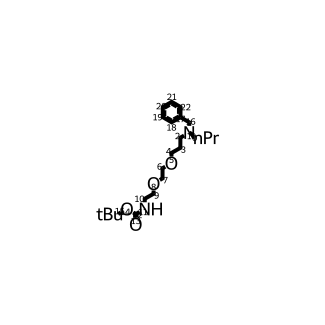 CCCN(CCCOCCOCCNC(=O)OC(C)(C)C)Cc1ccccc1